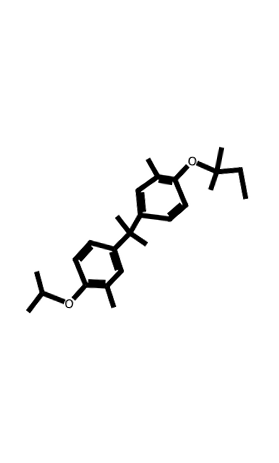 CCC(C)(C)Oc1ccc(C(C)(C)c2ccc(OC(C)C)c(C)c2)cc1C